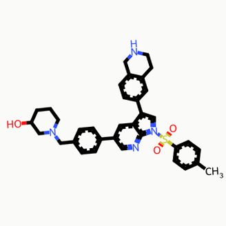 Cc1ccc(S(=O)(=O)n2cc(-c3ccc4c(c3)CCNC4)c3cc(-c4ccc(CN5CCCC(O)C5)cc4)cnc32)cc1